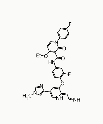 CCOc1ccn(-c2ccc(F)cc2)c(=O)c1C(=O)Nc1ccc(OC2=CC(c3cn(C)cn3)=CN/C2=C\C=N)c(F)c1